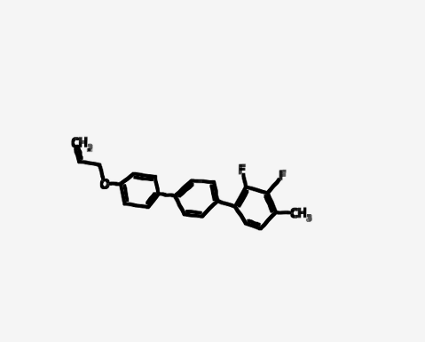 C=CCOc1ccc(-c2ccc(-c3ccc(C)c(F)c3F)cc2)cc1